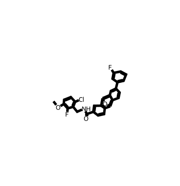 COc1ccc(Cl)c(CNC(=O)c2ccc3c(c2)c2oc3c3ccc(-c4cccc(F)c4)cc32)c1F